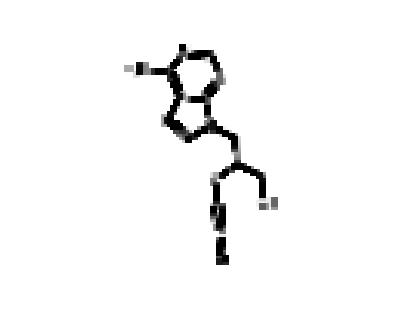 Nc1ncnc2c1ncn2C[C@@H](CO)OC#P=O